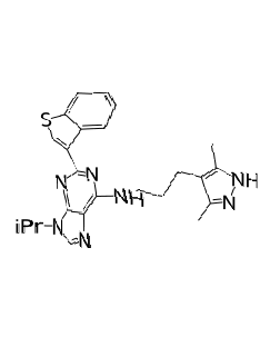 Cc1n[nH]c(C)c1CCCNc1nc(-c2csc3ccccc23)nc2c1ncn2C(C)C